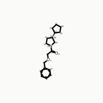 O=C(COCc1ccccc1)N1CC[C@@H](C2CCCC2)C1